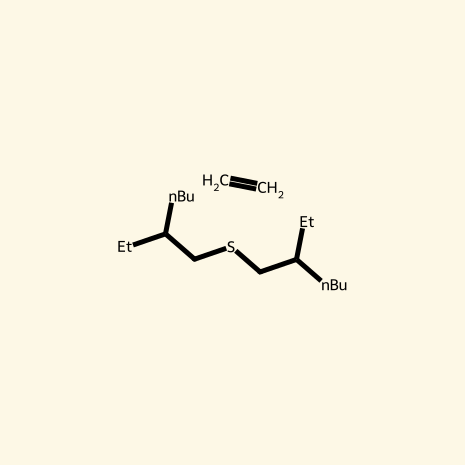 C=C.CCCCC(CC)CSCC(CC)CCCC